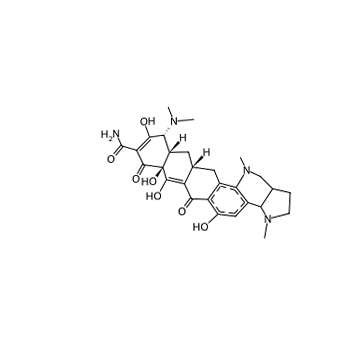 CN1CC2CCN(C)C2c2cc(O)c3c(c21)C[C@H]1C[C@H]2[C@@H](N(C)C)C(O)=C(C(N)=O)C(=O)[C@@]2(O)C(O)=C1C3=O